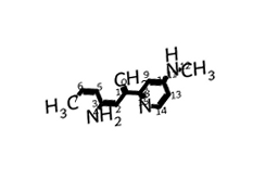 C=C(/C=C(N)\C=C/C)c1cc(NC)ccn1